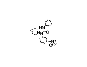 O=C(Nc1ccccc1)N(c1ncnc(N2CC3CCC2CO3)n1)N1CCOCC1